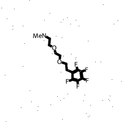 CNCCOCCOCCc1c(F)c(F)c(F)c(F)c1F